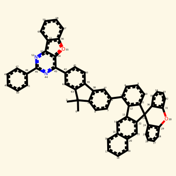 CC1(C)c2ccc(-c3cccc4c3-c3cc5ccccc5cc3C43c4ccccc4Oc4ccccc43)cc2-c2ccc(-c3nc(-c4ccccc4)nc4c3oc3ccccc34)cc21